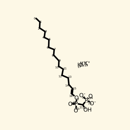 CCCCCCCCCCCCCCCC=COP(=O)([O-])C(O)P(=O)([O-])[O-].[K+].[K+].[K+]